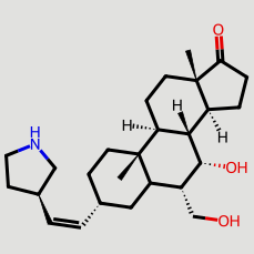 C[C@]12CC[C@@H](/C=C\[C@H]3CCNC3)CC1[C@@H](CO)[C@@H](O)[C@@H]1[C@@H]2CC[C@]2(C)C(=O)CC[C@@H]12